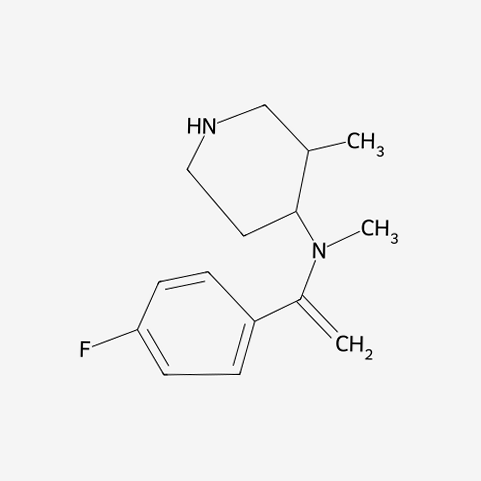 C=C(c1ccc(F)cc1)N(C)C1CCNCC1C